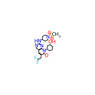 CS(=O)(=O)N1CCC(Nc2ncc3cc(CC(F)F)c(=O)n([C@@H]4CCC[C@@H](O)C4)c3n2)CC1